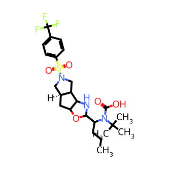 CCCC(C1NC2C(C[C@H]3CN(S(=O)(=O)c4ccc(C(F)(F)F)cc4)CC23)O1)N(C(=O)O)C(C)(C)C